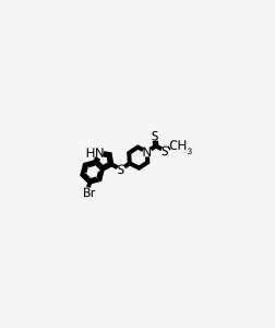 CSC(=S)N1CCC(Sc2c[nH]c3ccc(Br)cc23)CC1